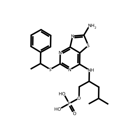 CC(C)CC(COP(=O)(O)O)Nc1nc(SC(C)c2ccccc2)nc2nc(N)sc12